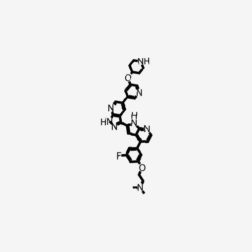 CN(C)CCOc1cc(F)cc(-c2ccnc3[nH]c(-c4n[nH]c5ncc(-c6cncc(OC7CCNCC7)c6)cc45)cc23)c1